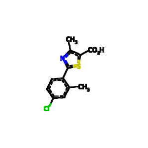 Cc1cc(Cl)ccc1-c1nc(C)c(C(=O)O)s1